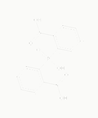 O=C(O)c1ccccc1P(=O)(O)c1ccccc1C(=O)O